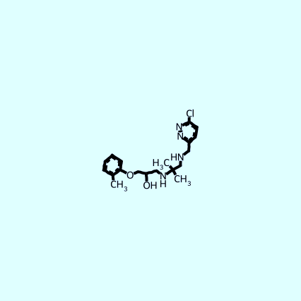 Cc1ccccc1OCC(O)CNC(C)(C)CNCc1ccc(Cl)nn1